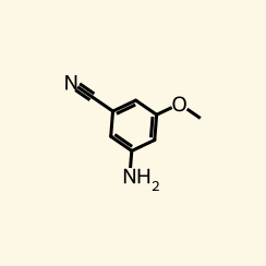 COc1cc(N)cc(C#N)c1